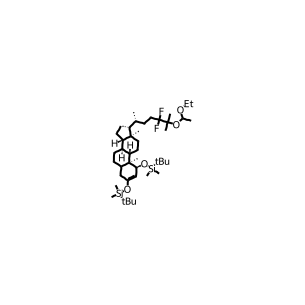 CCOC(C)OC(C)(C)C(F)(F)CC[C@@H](C)[C@H]1CC[C@H]2[C@@H]3CCC4CC(O[Si](C)(C)C(C)(C)C)=C[C@H](O[Si](C)(C)C(C)(C)C)[C@]4(C)[C@H]3CC[C@]12C